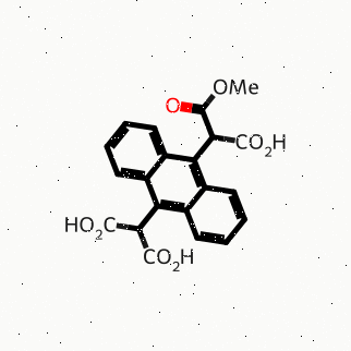 COC(=O)C(C(=O)O)c1c2ccccc2c(C(C(=O)O)C(=O)O)c2ccccc12